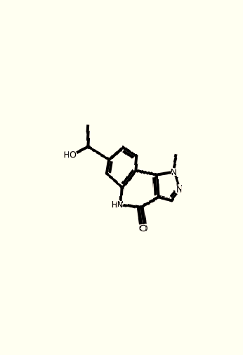 CC(O)c1ccc2c(c1)[nH]c(=O)c1cnn(C)c12